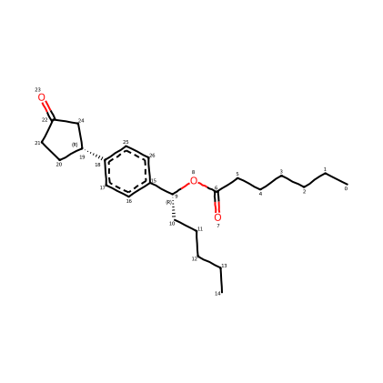 CCCCCCC(=O)O[C@H](CCCCC)c1ccc([C@@H]2CCC(=O)C2)cc1